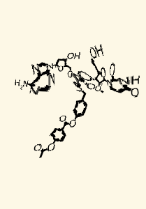 CO[C@@H]1C(n2ccc(=O)[nH]c2=O)OC(CO)[C@@H]1OP(=O)(OCC1O[C@@H](n2cnc3c(N)ncnc32)C[C@H]1O)SCc1ccc(OC(=O)c2ccc(OC(C)=O)cc2)cc1